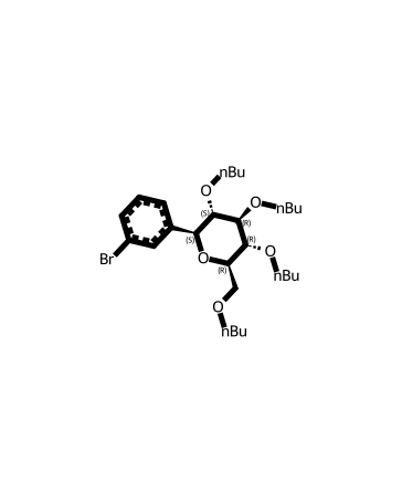 CCCCOC[C@H]1O[C@@H](c2cccc(Br)c2)[C@H](OCCCC)[C@@H](OCCCC)[C@@H]1OCCCC